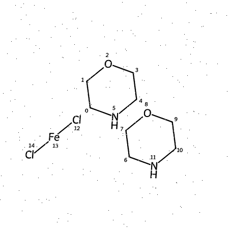 C1COCCN1.C1COCCN1.[Cl][Fe][Cl]